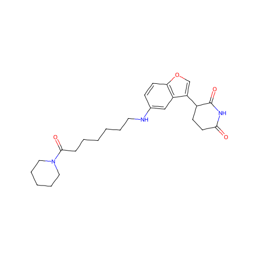 O=C1CCC(c2coc3ccc(NCCCCCCC(=O)N4CCCCC4)cc23)C(=O)N1